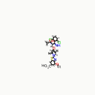 CCOc1cc(C(=O)O)cc2sc(N3C[C@@H]4C[C@H]3C[C@H]4OC/C(C(=N)c3c(Cl)cccc3Cl)=C(/O)C3CC3)nc12